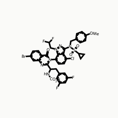 COc1ccc(CN(c2nn(CC(F)F)c3c(-n4c(C(Cc5cc(F)cc(F)c5)NC(=O)O)nc5cc(Br)ccc5c4=O)ccc(Cl)c23)S(=O)(=O)C2CC2)cc1